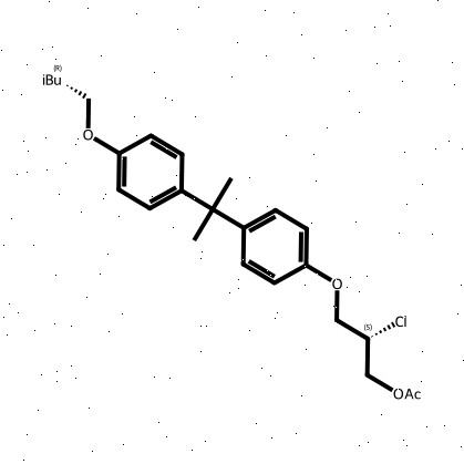 CC[C@@H](C)COc1ccc(C(C)(C)c2ccc(OC[C@H](Cl)COC(C)=O)cc2)cc1